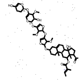 C/C=C(\C)C(=O)OC1CC2C(CC=C3CC(OC4OC=C(OC5OC=C(O[C@@H]6OC=C(O[C@H]7CCC(O)=CO7)C(OC)C6O)C5OC)C4OC)CCC32C)C2(O)CCC(C(C)=O)C12C